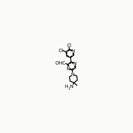 CC1(N)CCN(c2cnc(-c3cnc(Cl)c(Cl)c3)c(C=O)n2)CC1